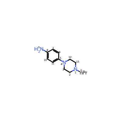 CCCN1CCN(c2ccc(N)cc2)CC1